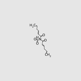 C=CCC=CC(=O)N(C(=O)C=CCC=C)[SH](=O)=O